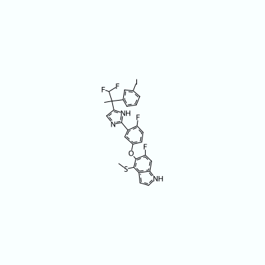 CSc1c(Oc2ccc(F)c(-c3ncc(C(C)(c4cccc(I)c4)C(F)F)[nH]3)c2)c(F)cc2[nH]ccc12